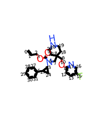 C=CCOC(=O)N(CC1(COc2ccc(F)cn2)CCNCC1)[C@@H]1CC1c1ccccc1